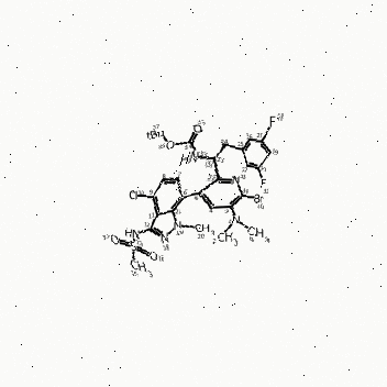 CN(C)c1cc(-c2ccc(Cl)c3c(NS(C)(=O)=O)nn(C)c23)c([C@H](Cc2cc(F)cc(F)c2)NC(=O)OC(C)(C)C)nc1Br